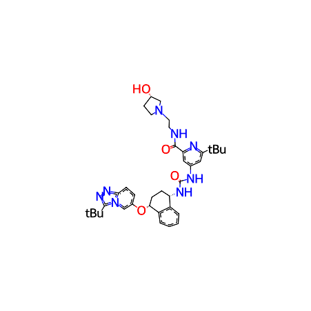 CC(C)(C)c1cc(NC(=O)N[C@H]2CC[C@@H](Oc3ccc4nnc(C(C)(C)C)n4c3)c3ccccc32)cc(C(=O)NCCN2CC[C@H](O)C2)n1